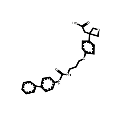 O=C(O)CC1(c2ccc(OCCCNC(=O)Nc3ccc(-c4ccccc4)cc3)cc2)COC1